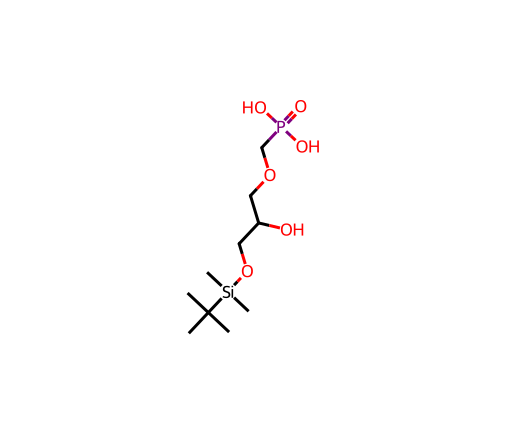 CC(C)(C)[Si](C)(C)OCC(O)COCP(=O)(O)O